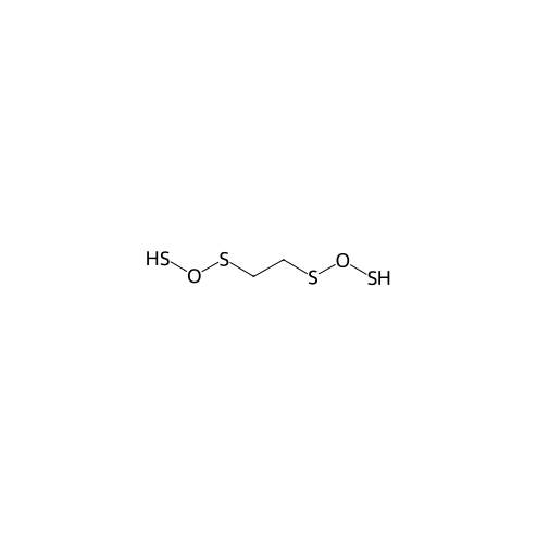 SOSCCSOS